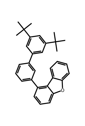 CC(C)(C)c1cc(-c2cccc(-c3cccc4oc5ccccc5c34)c2)cc(C(C)(C)C)c1